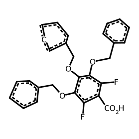 O=C(O)c1c(F)c(OCc2ccccc2)c(OCc2ccccc2)c(OCc2ccccc2)c1F